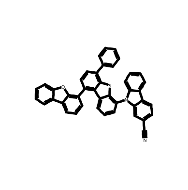 N#Cc1ccc2c3ccccc3n(-c3cccc4c3sc3c(-c5ccccc5)ccc(-c5cccc6c5oc5ccccc56)c34)c2c1